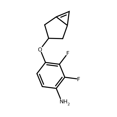 Nc1ccc(OC2CC3=CC3C2)c(F)c1F